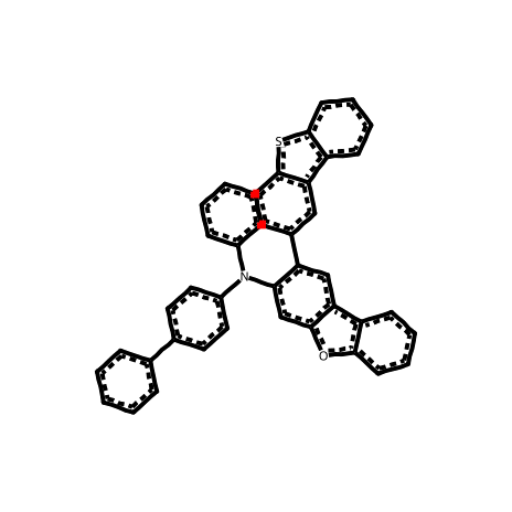 c1ccc(-c2ccc(N(c3ccccc3)c3cc4oc5ccccc5c4cc3-c3ccc4sc5ccccc5c4c3)cc2)cc1